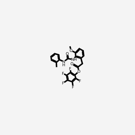 COc1cccc(CC(=O)Oc2c(F)c(F)c(F)c(F)c2F)c1NC(=O)Nc1ccccc1C